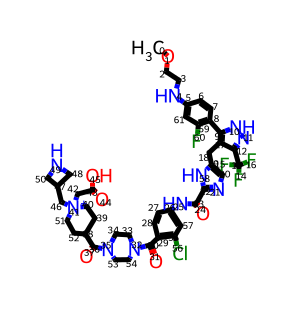 COCCNc1ccc(-c2[nH]nc(C(F)(F)F)c2Cc2cnc(C(=O)Nc3ccc(C(=O)N4CCN(C(=O)C5CC[N+](CC(=O)O)(CC6CNC6)CC5)CC4)c(Cl)c3)[nH]2)c(F)c1